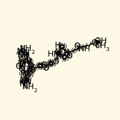 CP(O)(=S)OCCCCCCNC(=O)CCCCC(=O)N1Cc2ccccc2C2=C(c3ccccc31)N(CCOc1ccc(C(=O)Oc3ccc(CS[P@@]4(=O)OC[C@H]5O[C@@H](n6cnc7c(N)ncnc76)[C@H](F)[C@@H]5O[PH](=O)OC[C@H]5O[C@@H](n6cnc7c(N)ncnc76)[C@H](F)[C@@H]5O4)cc3)cc1)NN2